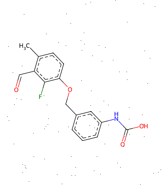 Cc1ccc(OCc2cccc(NC(=O)O)c2)c(F)c1C=O